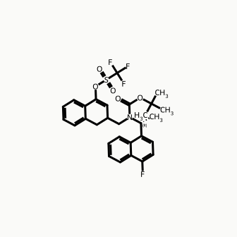 C[C@H](c1ccc(F)c2ccccc12)N(CC1C=C(OS(=O)(=O)C(F)(F)F)c2ccccc2C1)C(=O)OC(C)(C)C